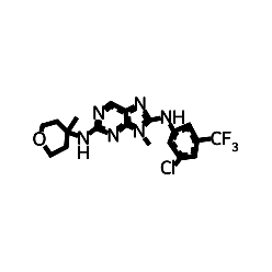 Cn1c(Nc2cc(Cl)cc(C(F)(F)F)c2)nc2cnc(NC3(C)CCOCC3)nc21